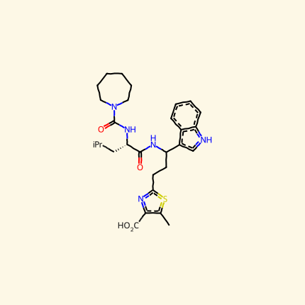 Cc1sc(CCC(NC(=O)[C@H](CC(C)C)NC(=O)N2CCCCCC2)c2c[nH]c3ccccc23)nc1C(=O)O